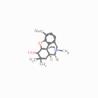 COc1ccc2c3c1OC1C(O)C(C)(C)C[C@H]4[C@@H](C2)N(C)CC[C@]314